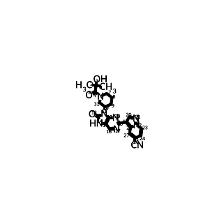 CC(C)(O)C(=O)N1CCC[C@H](n2c(=O)[nH]c3cnc(-c4cnn5ccc(C#N)cc45)nc32)C1